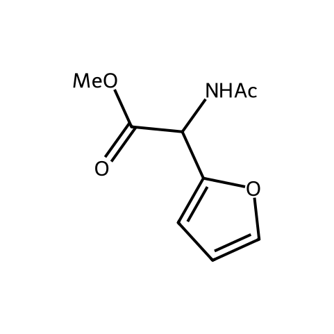 COC(=O)C(NC(C)=O)c1ccco1